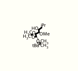 CO[C@H]([C@H]1OC(C)(C)O[C@H]1CO[Si](C)(C)C(C)(C)C)[C@@H](O)CC(C)C